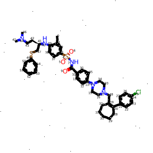 Cc1cc(S(=O)(=O)NC(=O)c2ccc(N3CCN(CC4=C(c5ccc(Cl)cc5)CCCCC4)CC3)cc2)ccc1N[C@H](CCN(C)C)CSc1ccccc1